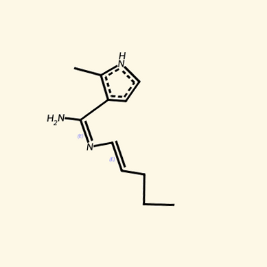 CCC/C=C/N=C(/N)c1cc[nH]c1C